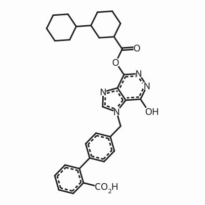 O=C(O)c1ccccc1-c1ccc(Cn2cnc3c(OC(=O)C4CCCC(C5CCCCC5)C4)nnc(O)c32)cc1